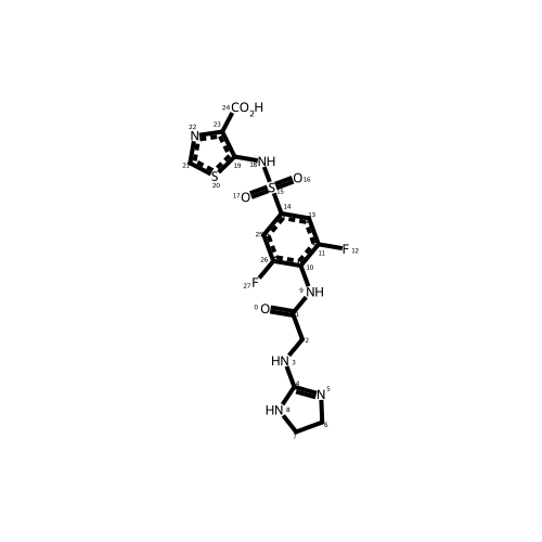 O=C(CNC1=NCCN1)Nc1c(F)cc(S(=O)(=O)Nc2scnc2C(=O)O)cc1F